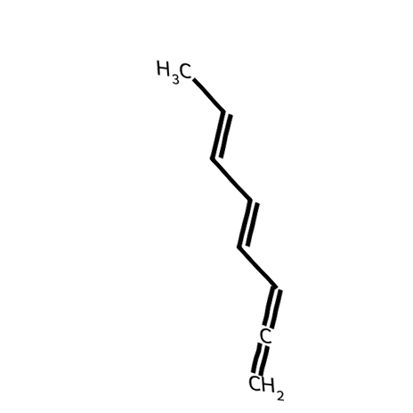 C=C=CC=CC=CC